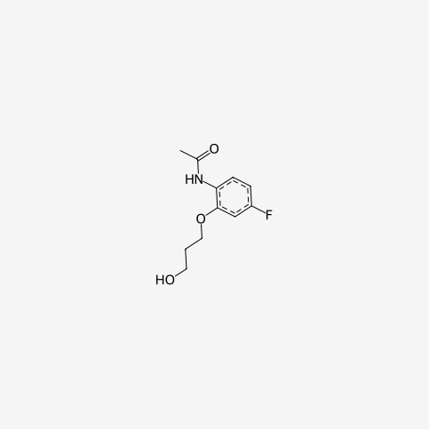 CC(=O)Nc1ccc(F)cc1OCCCO